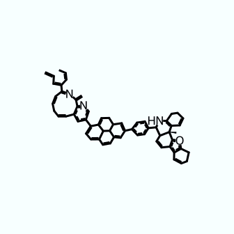 C=C/C=C(\C=C/C)C1=N/C(=C)c2ncc(C3=CC=C4C=CC5=CC(c6ccc(C7NC8=C(C=CCC8)[C@]8(C)c9oc%10c(c9C=CC78)C=CCC%10)cc6)=CC6CC=C3C4C56)cc2/C=C\C/C=C\1